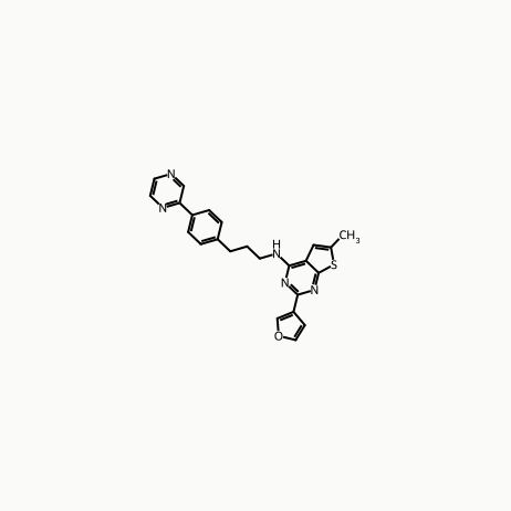 Cc1cc2c(NCCCc3ccc(-c4cnccn4)cc3)nc(-c3ccoc3)nc2s1